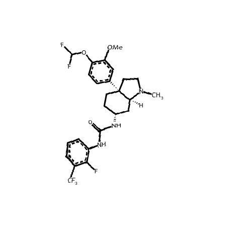 COc1cc([C@@]23CC[C@@H](NC(=O)Nc4cccc(C(F)(F)F)c4F)C[C@@H]2N(C)CC3)ccc1OC(F)F